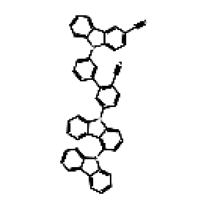 N#Cc1ccc2c(c1)c1ccccc1n2-c1cccc(-c2cc(-n3c4ccccc4c4c(-n5c6ccccc6c6ccccc65)cccc43)ccc2C#N)c1